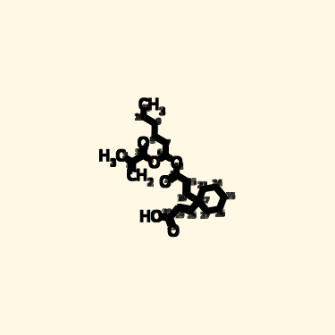 C=C(C)C(=O)OC(CCCCC)OC(=O)C=CC1(C=CC(=O)O)CCCCC1